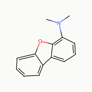 CN(C)c1cccc2c1oc1ccccc12